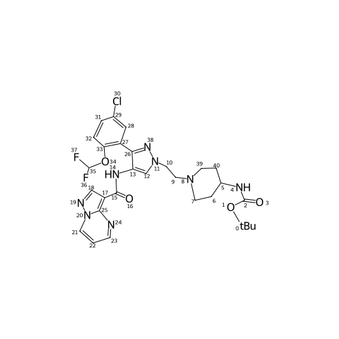 CC(C)(C)OC(=O)NC1CCN(CCn2cc(NC(=O)c3cnn4cccnc34)c(-c3cc(Cl)ccc3OC(F)F)n2)CC1